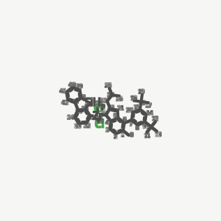 Cc1ccc2c(c1-c1cc(C(C)(C)C)cc(C(C)(C)C)c1)C=C(CC(C)C)[CH]2[Zr]([Cl])([Cl])[c]1cccc2c1[SiH2]c1ccccc1-2